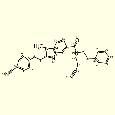 Cn1c(CCc2ccc(C#N)cc2)nc2cc(C(=O)N(CCC#N)CCc3ccccc3)ccc21